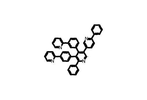 [c]1nc(-c2ccccc2)c(-c2ccc(-c3ccccn3)cc2)c(-c2cccc(-c3ccccn3)c2)c1-c1ccc(-c2ccccc2)nc1